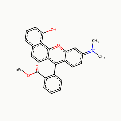 CCCOC(=O)c1ccccc1-c1c2ccc(=[N+](C)C)cc-2oc2c1ccc1cccc(O)c12